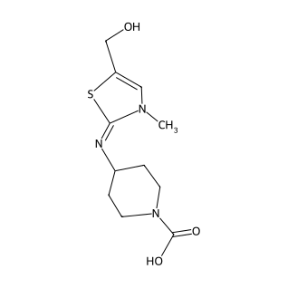 Cn1cc(CO)sc1=NC1CCN(C(=O)O)CC1